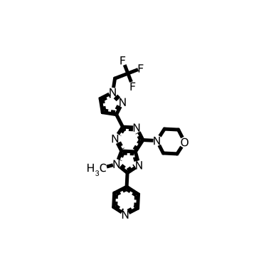 Cn1c(-c2ccncc2)nc2c(N3CCOCC3)nc(-c3ccn(CC(F)(F)F)n3)nc21